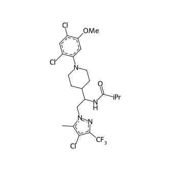 COc1cc(N2CCC(C(Cn3nc(C(F)(F)F)c(Cl)c3C)NC(=O)C(C)C)CC2)c(Cl)cc1Cl